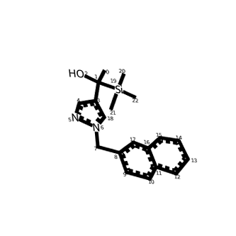 [CH2]C(O)(c1cnn(Cc2ccc3ccccc3c2)c1)[Si](C)(C)C